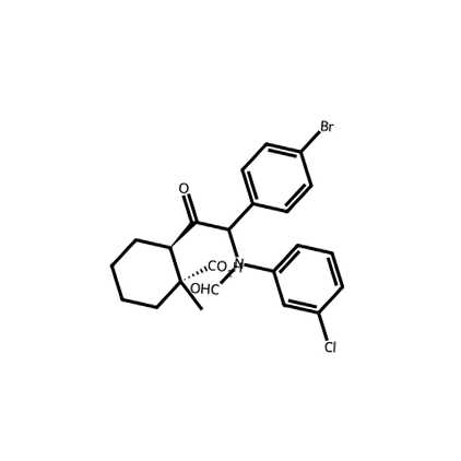 C[C@@]1(C(=O)O)CCCC[C@H]1C(=O)C(c1ccc(Br)cc1)N(C=O)c1cccc(Cl)c1